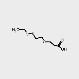 CCSSCCOCCC(=O)O